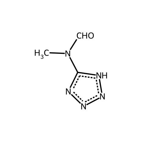 CN(C=O)c1nnn[nH]1